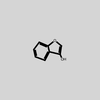 Oc1[c]oc2ccccc12